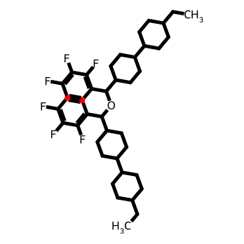 CCC1CCC(C2CCC(C(OC(c3ccc(F)c(F)c3F)C3CCC(C4CCC(CC)CC4)CC3)c3ccc(F)c(F)c3F)CC2)CC1